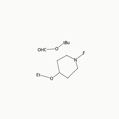 CC(C)(C)OC=O.CCOC1CCN(F)CC1